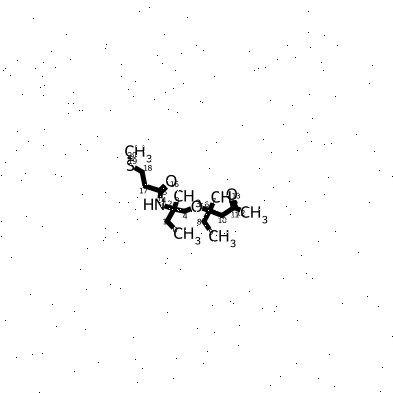 CCC(C)(COC(C)(CC)CC(C)=O)NC(=O)CCSC